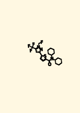 O=C(c1ccc(-c2cc(C(F)(F)F)n(CF)n2)s1)N(C1CCCCC1)C1CCCCC1